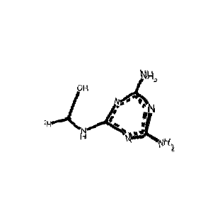 [2H]C(O)Nc1nc(N)nc(N)n1